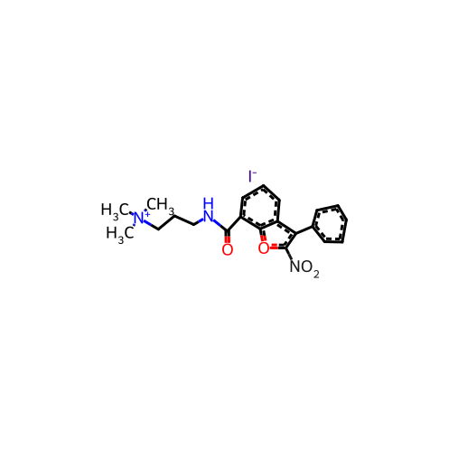 C[N+](C)(C)CCCNC(=O)c1cccc2c(-c3ccccc3)c([N+](=O)[O-])oc12.[I-]